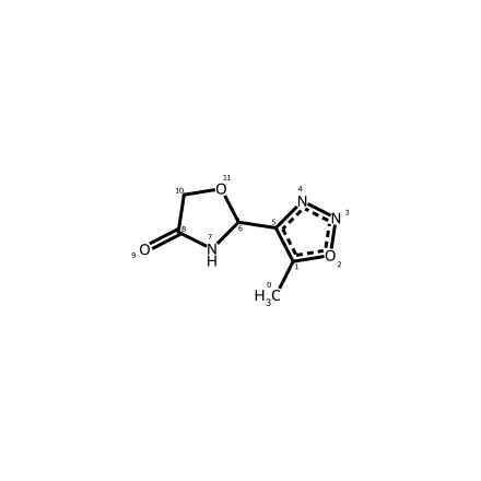 Cc1onnc1[C]1NC(=O)CO1